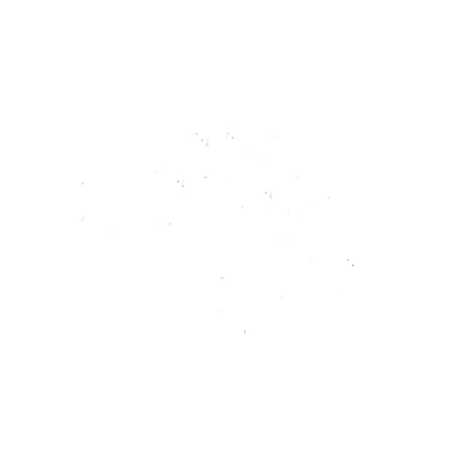 CN(C)CC(Cc1ccccc1)OC(=O)N1Cc2c(NC(=O)c3ccccc3F)n[nH]c2C1(C)C